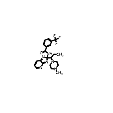 CCC(N1CCN(C)CC1)C1(NC(=O)c2cccc(C(F)(F)F)c2)N=c2cccnc2=N1